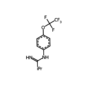 CC(C)C(=N)Nc1ccc(OC(F)(F)C(F)(F)F)cc1